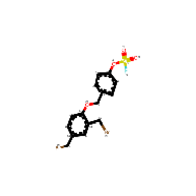 O=S(=O)(F)Oc1ccc(COc2ccc(CBr)cc2CBr)cc1